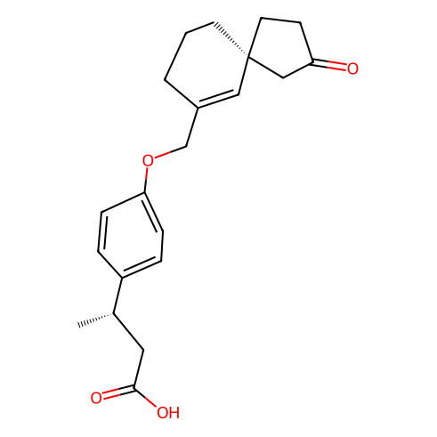 C[C@@H](CC(=O)O)c1ccc(OCC2=C[C@@]3(CCC2)CCC(=O)C3)cc1